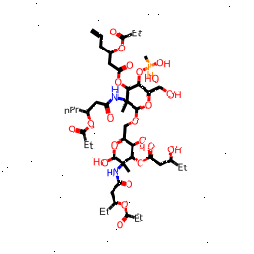 C=CCC(CC(=O)OC1C(O[PH](C)(O)O)C(CO)OC(OCC2OC(O)C(C)(NC(=O)CC(CC)OC(=O)CC)C(OC(=O)CC(O)CC)C2O)C1(C)NC(=O)CC(CCC)OC(=O)CC)OC(=O)CC